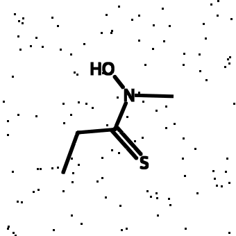 CCC(=S)N(C)O